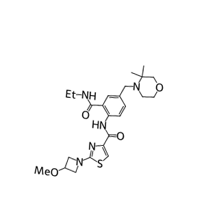 CCNC(=O)c1cc(CN2CCOCC2(C)C)ccc1NC(=O)c1csc(N2CC(OC)C2)n1